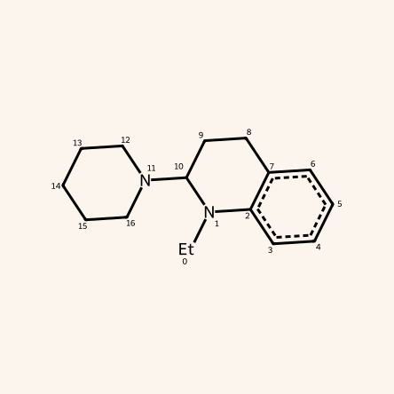 CCN1c2ccccc2CCC1N1CCCCC1